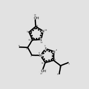 CC(C)c1ns[n+](CC(C)c2cc(O)ns2)c1O